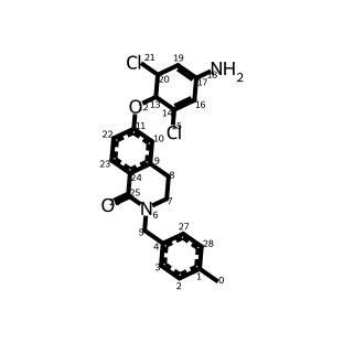 Cc1ccc(CN2CCc3cc(OC4C(Cl)=CC(N)=CC4Cl)ccc3C2=O)cc1